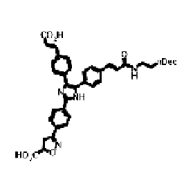 CCCCCCCCCCCCNC(=O)C=Cc1ccc(-c2[nH]c(-c3ccc(C4=NOC(C(=O)O)C4)cc3)nc2-c2ccc(/C=C/C(=O)O)cc2)cc1